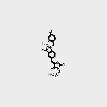 O=C(O)CN1C(=O)S/C(=C\c2ccc3c(c2)c(F)nn3Cc2ccc(Cl)cc2C(F)(F)F)C1=O